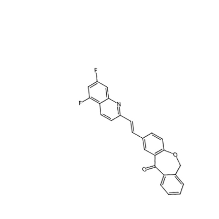 O=C1c2ccccc2COc2ccc(/C=C/c3ccc4c(F)cc(F)cc4n3)cc21